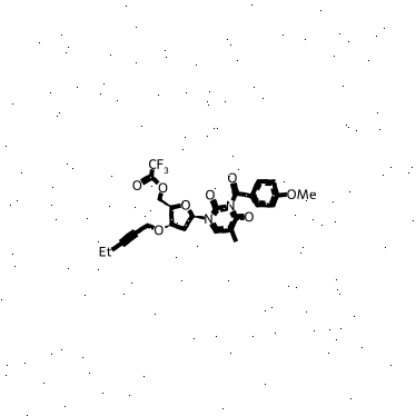 CCC#CCO[C@H]1C[C@H](n2cc(C)c(=O)n(C(=O)c3ccc(OC)cc3)c2=O)O[C@@H]1COC(=O)C(F)(F)F